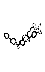 CC(CCCc1nc2cc(C(=O)N3CCC(c4ccccc4)CC3)ccc2nc1-c1ccc(Cl)cc1)C(=O)O